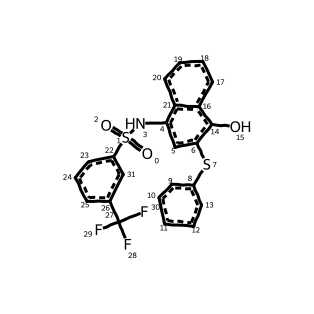 O=S(=O)(Nc1cc(Sc2ccccc2)c(O)c2ccccc12)c1cccc(C(F)(F)F)c1